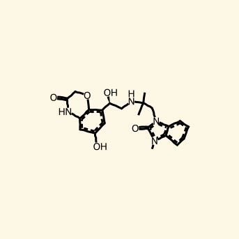 Cn1c(=O)n(CC(C)(C)NC[C@H](O)c2cc(O)cc3c2OCC(=O)N3)c2ccccc21